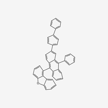 c1ccc(-c2ccc(-c3ccc4c(-c5cccc6oc7ccccc7c56)c5ccccc5c(-c5ccccc5)c4c3)cc2)cc1